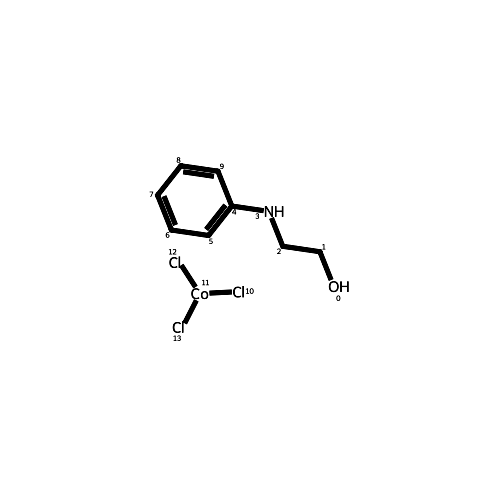 OCCNc1ccccc1.[Cl][Co]([Cl])[Cl]